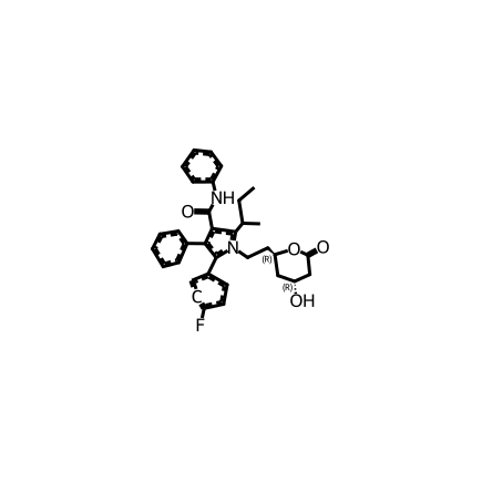 CCC(C)c1c(C(=O)Nc2ccccc2)c(-c2ccccc2)c(-c2ccc(F)cc2)n1CC[C@@H]1C[C@@H](O)CC(=O)O1